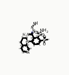 CS(=O)(=O)c1ccc(N2CCCc3ccncc32)c(/C(N)=N/N=N)c1S(N)(=O)=O